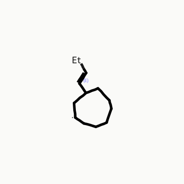 CC/C=C/C1C[CH]CCCCCC1